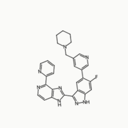 Fc1cc2[nH]nc(-c3nc4c(-c5ccccn5)nccc4[nH]3)c2cc1-c1cncc(CN2CCCCC2)c1